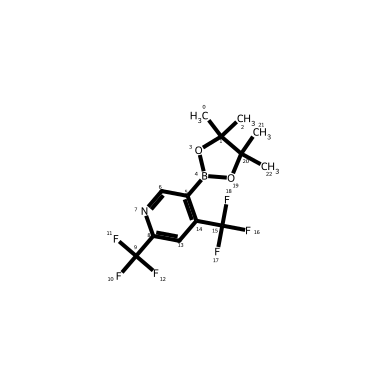 CC1(C)OB(c2cnc(C(F)(F)F)cc2C(F)(F)F)OC1(C)C